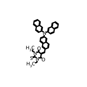 CCN1C(=O)C(=Cc2ccc3cc(N(c4ccc5ccccc5c4)c4ccc5ccccc5c4)ccc3c2)C(=O)N(CC)C1=S